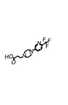 O=C(O)CCN1CCN(c2ccc(C(F)(F)F)nc2)CC1